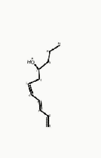 C=C/C=C/C=C\CC(O)CCC